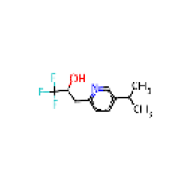 CC(C)c1ccc(CC(O)C(F)(F)F)nc1